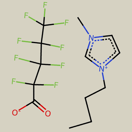 CCCC[n+]1ccn(C)c1.O=C([O-])C(F)(F)C(F)(F)C(F)(F)C(F)(F)F